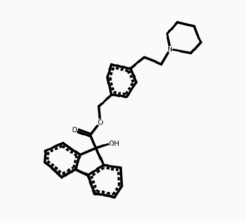 O=C(OCc1ccc(CCN2CCCCC2)cc1)C1(O)c2ccccc2-c2ccccc21